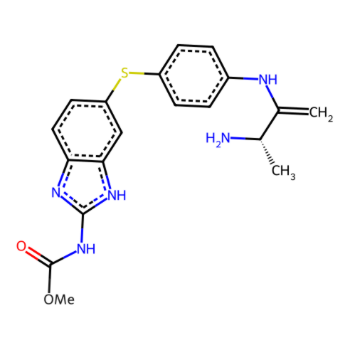 C=C(Nc1ccc(Sc2ccc3nc(NC(=O)OC)[nH]c3c2)cc1)[C@H](C)N